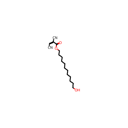 N#CC=C(C#N)C(=O)OCCCCCCCCCCCCO